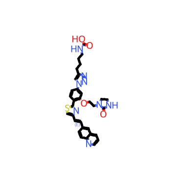 O=C(O)NCCCCc1cn(-c2ccc(-c3nc(/C=C/c4ccc5ncccc5c4)cs3)c(OCCN3CCNC3=O)c2)nn1